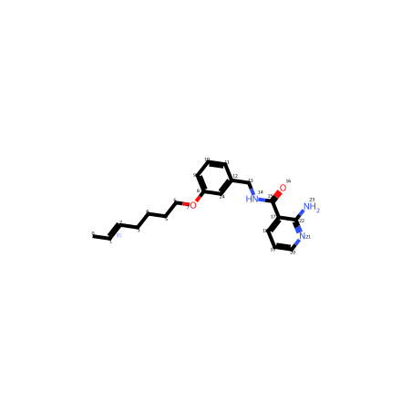 C/C=C/CCCCOc1cccc(CNC(=O)c2cccnc2N)c1